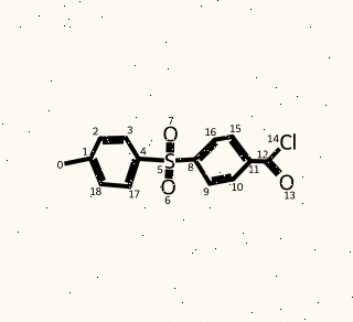 Cc1ccc(S(=O)(=O)c2ccc(C(=O)Cl)cc2)cc1